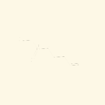 C=CCCC[PH](=O)OCC